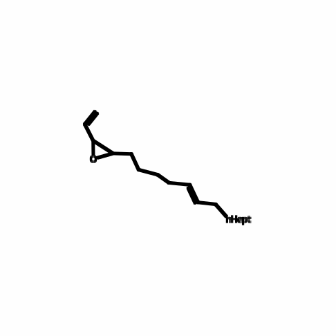 C=CC1OC1CCCCC=CCCCCCCCC